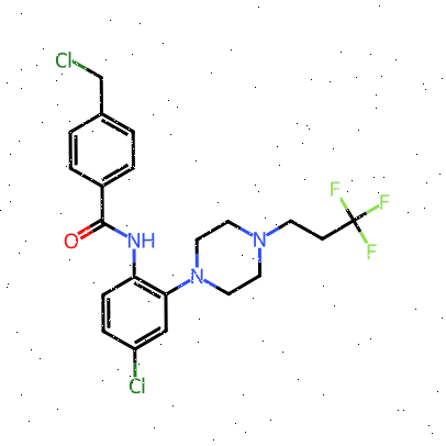 O=C(Nc1ccc(Cl)cc1N1CCN(CCC(F)(F)F)CC1)c1ccc(CCl)cc1